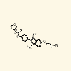 CCOCCOc1ccc2c(C#N)c(-c3ccc(NC(=O)O[C@@H]4CCOC4)cc3)n(C(C)C)c2c1